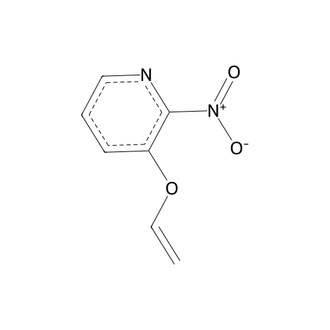 C=COc1cccnc1[N+](=O)[O-]